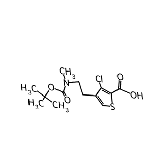 CN(CCc1csc(C(=O)O)c1Cl)C(=O)OC(C)(C)C